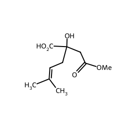 COC(=O)CC(O)(CC=C(C)C)C(=O)O